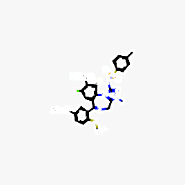 CCCSc1ccc(OC)cc1C1=NCc2n(C)nc(NS(=O)(=O)c3ccc(C)cc3)[n+]2-c2cc([N+](=O)[O-])c(F)cc21.[OH-]